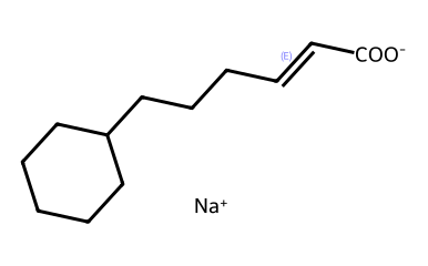 O=C([O-])/C=C/CCCC1CCCCC1.[Na+]